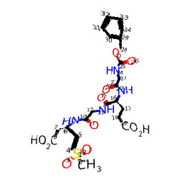 CS(=O)(=O)/C=C/[C@H](CC(=O)O)NC(=O)CNC(=O)[C@H](CCC(=O)O)NC(=O)CNC(=O)OCc1ccccc1